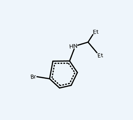 CCC(CC)Nc1cccc(Br)c1